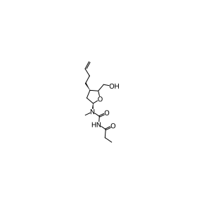 C=CCC[C@@H]1C[C@H](N(C)C(=O)NC(=O)CC)OC1CO